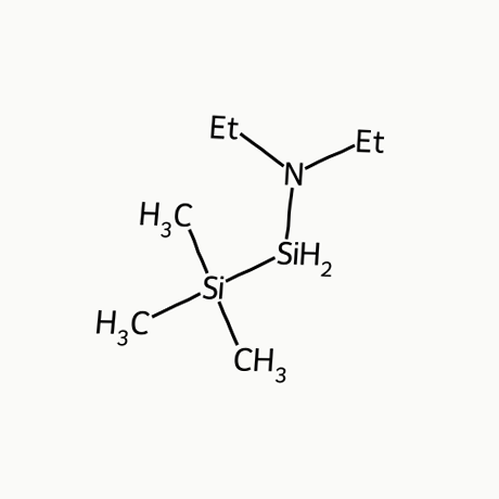 CCN(CC)[SiH2][Si](C)(C)C